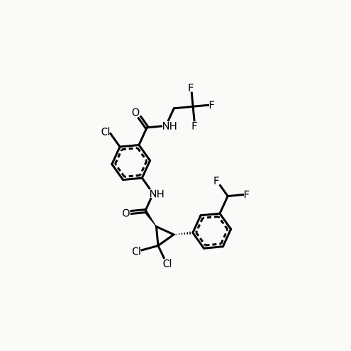 O=C(NCC(F)(F)F)c1cc(NC(=O)[C@H]2[C@H](c3cccc(C(F)F)c3)C2(Cl)Cl)ccc1Cl